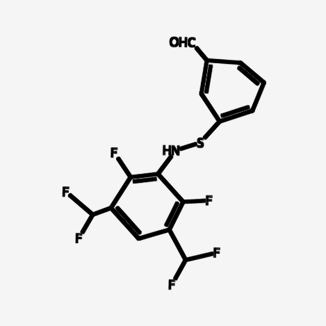 O=Cc1cccc(SNc2c(F)c(C(F)F)cc(C(F)F)c2F)c1